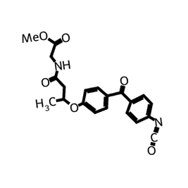 COC(=O)CNC(=O)CC(C)Oc1ccc(C(=O)c2ccc(N=C=O)cc2)cc1